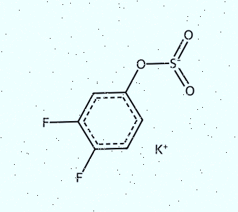 O=[S-](=O)Oc1ccc(F)c(F)c1.[K+]